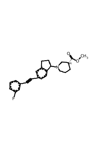 COC(=O)[C@@H]1CCCN(C2CCc3cc(C#Cc4cccc(F)c4)ccc32)C1